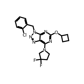 FC1(F)CCN(c2nc(OC3CCC3)nc3c2nnn3Cc2ccccc2Cl)C1